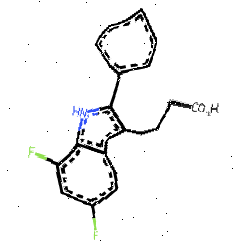 O=C(O)CCc1c(-c2ccccc2)[nH]c2c(F)cc(F)cc12